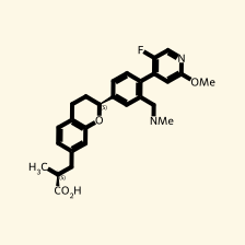 CNCc1cc([C@@H]2CCc3ccc(C[C@H](C)C(=O)O)cc3O2)ccc1-c1cc(OC)ncc1F